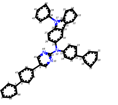 c1ccc(-c2ccc(-c3cnc(N(c4ccc(-c5ccccc5)cc4)c4ccc5c(c4)c4ccccc4n5-c4ccccc4)nc3)cc2)cc1